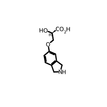 O=C(O)[C@H](O)COc1ccc2c(c1)CNC2